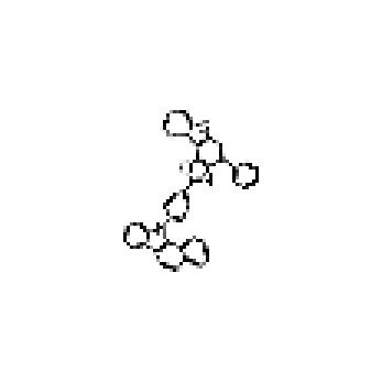 c1ccc(-c2cc3sc4ccccc4c3c3oc(-c4ccc(-n5c6ccccc6c6ccc7ccccc7c65)cc4)nc23)cc1